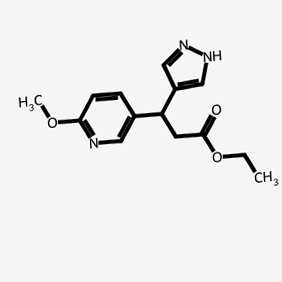 CCOC(=O)CC(c1ccc(OC)nc1)c1cn[nH]c1